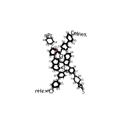 CCCCCCOc1ccc(-c2ccc(C(=O)Oc3c(-c4ccc(C5CCC6(CC5)C5C(C)C56)cc4)cc4ccccc4c3-c3c(OC(=O)c4ccc(-c5ccc(OCCCCCC)cc5)cc4)c(-c4ccc([C@H]5CC[C@H](CCC)CC5)cc4)cc4ccccc34)cc2)cc1